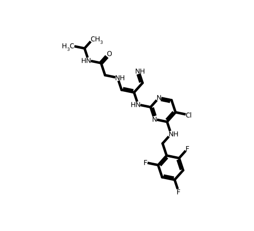 CC(C)NC(=O)CN/C=C(\C=N)Nc1ncc(Cl)c(NCc2c(F)cc(F)cc2F)n1